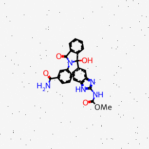 COC(=O)Nc1nc2cc(C3(O)c4ccccc4C(=O)N3c3cccc(C(N)=O)c3)ccc2[nH]1